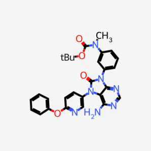 CN(C(=O)OC(C)(C)C)c1cccc(-n2c(=O)n(-c3ccc(Oc4ccccc4)nc3)c3c(N)ncnc32)c1